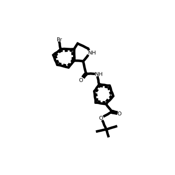 CC(C)(C)OC(=O)c1ccc(NC(=O)C2NCCc3c(Br)cccc32)cc1